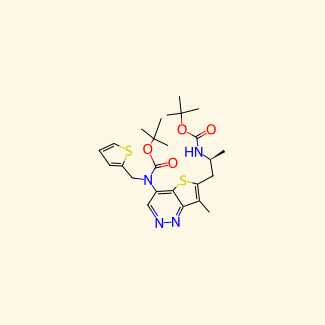 Cc1c(C[C@H](C)NC(=O)OC(C)(C)C)sc2c(N(Cc3cccs3)C(=O)OC(C)(C)C)cnnc12